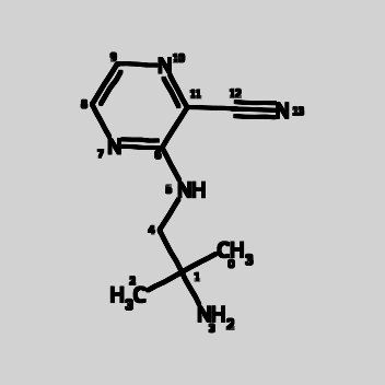 CC(C)(N)CNc1nccnc1C#N